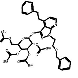 CC(C)(C)C(=O)OC[C@H]1O[C@@H](Oc2nn(CCOCc3ccccc3)c3nccc(CCc4ccccc4)c23)[C@H](OC(=O)C(C)(C)C)[C@@H](OC(=O)C(C)(C)C)[C@@H]1OC(=O)C(C)(C)C